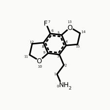 NCCc1c2c(c(F)c3c1OCC3)OCC2